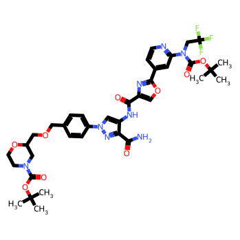 CC(C)(C)OC(=O)N1CCOC(COCc2ccc(-n3cc(NC(=O)c4coc(-c5ccnc(N(CC(F)(F)F)C(=O)OC(C)(C)C)c5)n4)c(C(N)=O)n3)cc2)C1